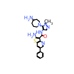 Cn1ncc(NC(=O)c2c(N)sc3cc(-c4ccccc4)cnc23)c1N1CCC[C@@H](N)CC1